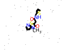 CN1C(=O)C(CC(=O)NCc2cccs2)Sc2ncccc21